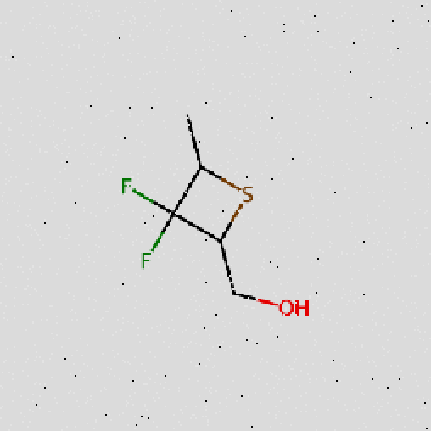 CC1SC(CO)C1(F)F